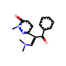 CN(C)/C=C(/C(=O)c1ccccc1)c1ccc(=O)n(C)n1